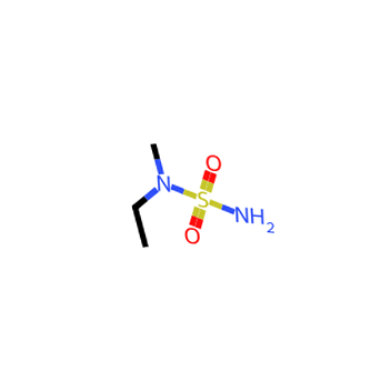 CCN(C)S(N)(=O)=O